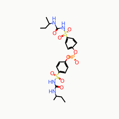 CCC(C)NC(=O)NS(=O)(=O)c1ccc(O[PH](=O)Oc2ccc(S(=O)(=O)NC(=O)NC(C)CC)cc2)cc1